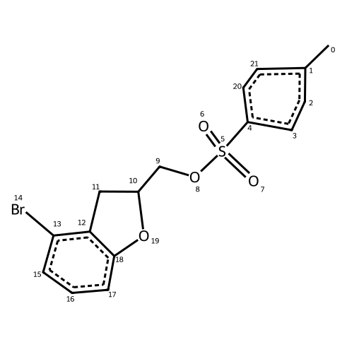 Cc1ccc(S(=O)(=O)OCC2Cc3c(Br)cccc3O2)cc1